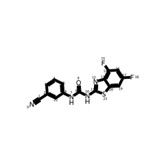 N#Cc1cccc(NC(=O)Nc2nc3c(F)cc(F)cc3s2)c1